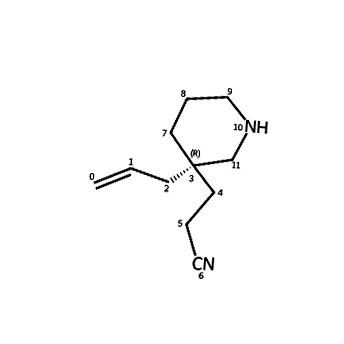 C=CC[C@]1(CCC#N)CCCNC1